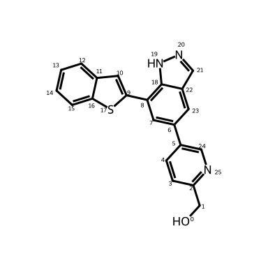 OCc1ccc(-c2cc(-c3cc4ccccc4s3)c3[nH]ncc3c2)cn1